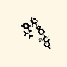 C=C1CC(C)CC[C@H]1[C@H](NC)C(=O)N1CCC2(CC1)CN(c1ncncc1Oc1ccc(F)cc1C(=O)N(C(C)C)C(C)C)C2